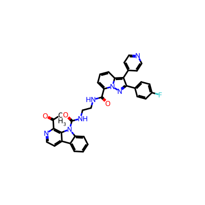 CC(=O)c1nccc2c3ccccc3n(C(=O)NCCNC(=O)c3cccc4c(-c5ccncc5)c(-c5ccc(F)cc5)nn34)c12